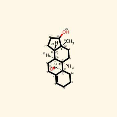 C[C@]12CC[C@@H]3[C@@H](CCC4=CCCC[C@@]43C=O)[C@@H]1CCC2O